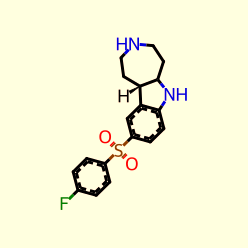 O=S(=O)(c1ccc(F)cc1)c1ccc2c(c1)[C@@H]1CCNCCC1N2